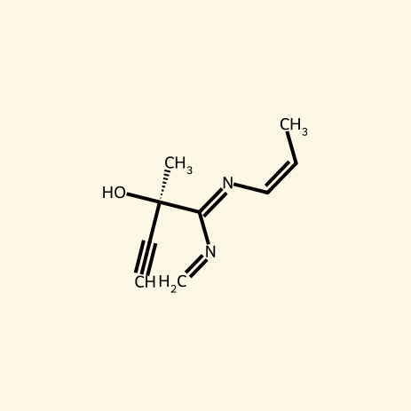 C#C[C@@](C)(O)/C(N=C)=N/C=C\C